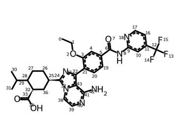 CCOc1cc(C(=O)Nc2cc(C(F)(F)F)ccn2)ccc1-c1nc([C@@H]2CCC(C(C)C)[C@H](C(=O)O)C2)n2ccnc(N)c12